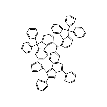 c1ccc(-c2nn3c(-c4ccccc4)cc4cc(N(c5cccc6c5-c5ccccc5C6(c5ccccc5)c5ccccc5)c5cccc6c5-c5ccccc5C6(c5ccccc5)c5ccccc5)ccc4c3c2-c2ccccc2)cc1